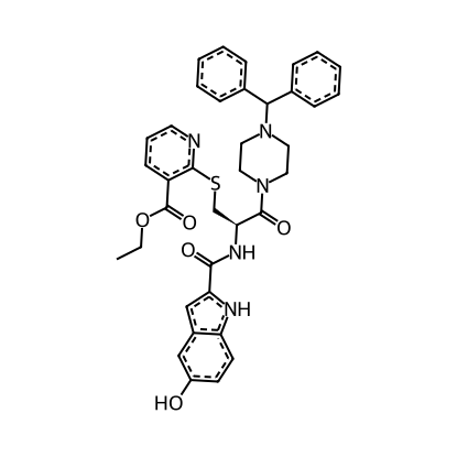 CCOC(=O)c1cccnc1SC[C@H](NC(=O)c1cc2cc(O)ccc2[nH]1)C(=O)N1CCN(C(c2ccccc2)c2ccccc2)CC1